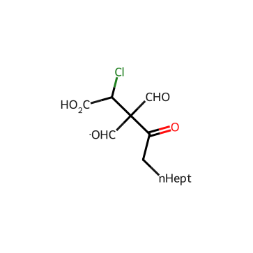 CCCCCCCCC(=O)C([C]=O)(C=O)C(Cl)C(=O)O